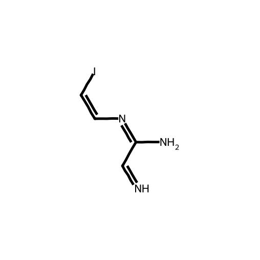 N=C/C(N)=N\C=C/I